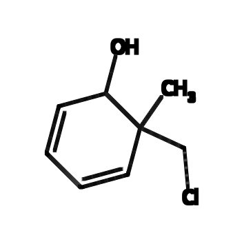 CC1(CCl)C=CC=CC1O